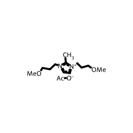 CC(=O)[O-].COCCCn1cc[n+](CCCOC)c1C